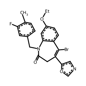 CCOc1ccc2c(c1)N(Cc1ccc(C)c(F)c1)C(=O)CC(c1cnco1)=C2Br